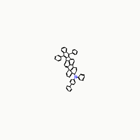 C1=CC2C3=C(C=CC(N(c4ccccc4)c4ccc(-c5ccccc5)cc4)C3=C1)c1ccc3c4c(ccc2c14)-c1c-3c(-c2ccccc2)c2ccccc2c1-c1ccccc1